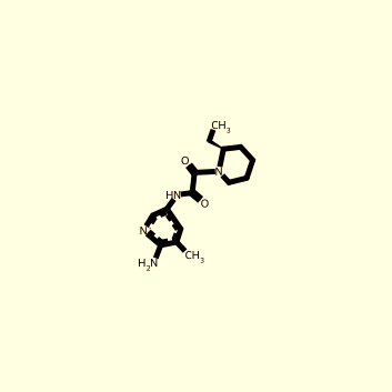 CC[C@H]1CCCCN1C(=O)C(=O)Nc1cnc(N)c(C)c1